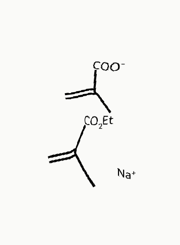 C=C(C)C(=O)OCC.C=C(C)C(=O)[O-].[Na+]